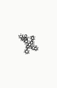 Cn1c(=O)n2c3ccccc3nc2c2ccc(-c3c4ccc(-c5ccccc5)cc4c(-c4ccc5ccccc5c4)c4ccc(-c5ccccc5)cc34)cc21